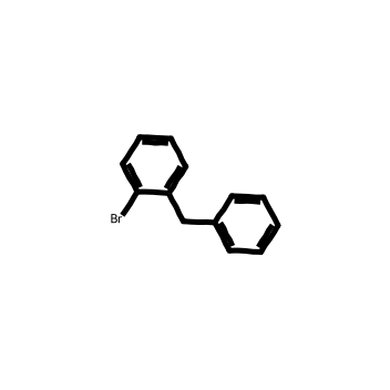 Brc1ccccc1Cc1ccccc1